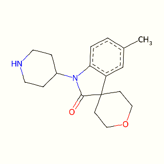 Cc1ccc2c(c1)C1(CCOCC1)C(=O)N2C1CCNCC1